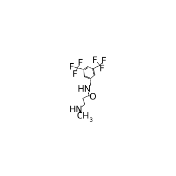 CNCCC(=O)NCc1cc(C(F)(F)F)cc(C(F)(F)F)c1